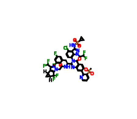 CS(=O)(=O)c1cccnc1-c1ccc2c(=O)n(-c3ccc(Cl)c4c(NS(=O)(=O)C5CC5)nn(CC(F)F)c34)c([C@H](Cc3cc(F)cc(F)c3)NC(=O)Cn3nc(C(F)F)c4c3C(F)(F)[C@@H]3C[C@H]43)nc2c1